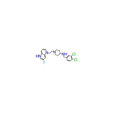 FC1=CNC2=CC=CN(CCN3CCC(NCc4ccc(Cl)c(Cl)c4)CC3)C2=C1